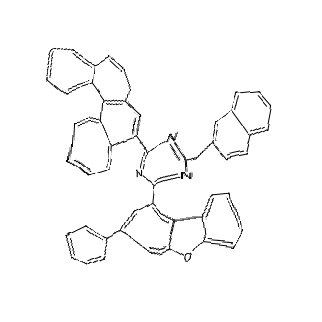 c1ccc(-c2cc(-c3nc(-c4ccc5ccccc5c4)nc(-c4cc5ccc6ccccc6c5c5ccccc45)n3)c3c(c2)oc2ccccc23)cc1